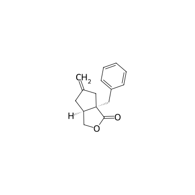 C=C1C[C@@H]2COC(=O)[C@]2(Cc2ccccc2)C1